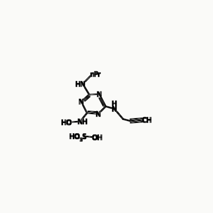 C#CCNc1nc(NO)nc(NCCC)n1.O=S(=O)(O)O